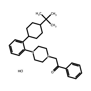 CC(C)(C)C1CCC(c2ccccc2N2CCN(CC(=O)c3ccccc3)CC2)CC1.Cl